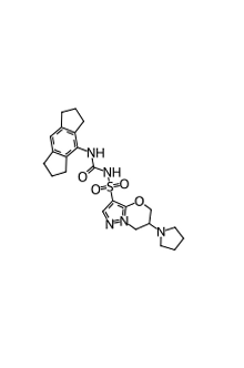 O=C(Nc1c2c(cc3c1CCC3)CCC2)NS(=O)(=O)c1cnn2c1OCC(N1CCCC1)C2